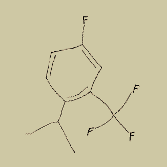 CC(C)c1ccc(F)cc1C(F)(F)F